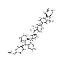 CC(C)(C)Oc1ccc(-c2c3ccccc3c(-c3ccc4c(c3)C(C)(C)c3cc(-c5ccc6c(c5)C(C)(C)c5ccccc5-6)ccc3-4)c3ccccc23)cc1